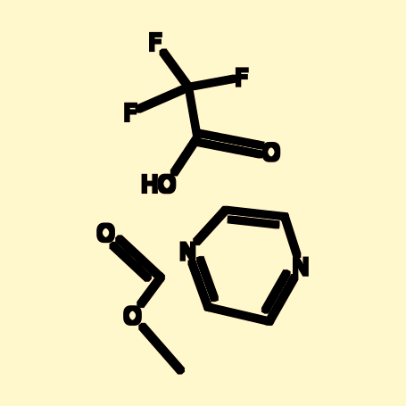 COC=O.O=C(O)C(F)(F)F.c1cnccn1